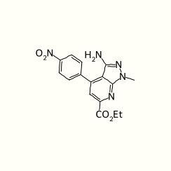 CCOC(=O)c1cc(-c2ccc([N+](=O)[O-])cc2)c2c(N)nn(C)c2n1